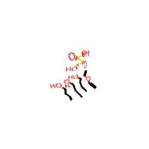 C=COC=C.CCCO.CCCO.CCCO.O=S(=O)(O)O